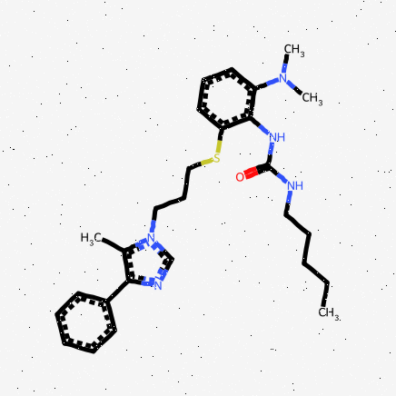 CCCCCNC(=O)Nc1c(SCCCn2cnc(-c3ccccc3)c2C)cccc1N(C)C